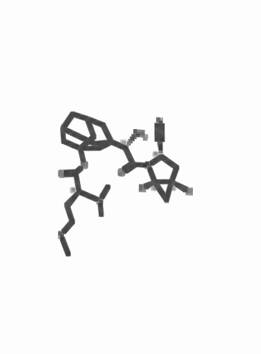 CSCC[C@@H](C(=O)OC12CC3CC(C1)CC([C@H](N)C(=O)N1[C@H](C#N)C[C@@H]4C[C@@H]41)(C3)C2)N(C)C